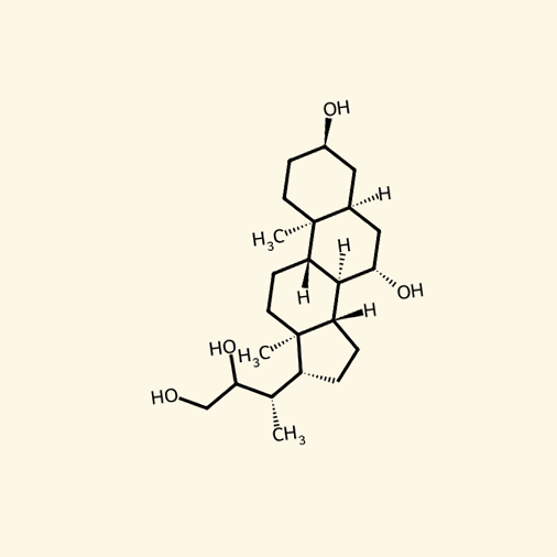 C[C@H](C(O)CO)[C@H]1CC[C@H]2[C@@H]3[C@@H](O)C[C@@H]4C[C@H](O)CC[C@]4(C)[C@H]3CC[C@]12C